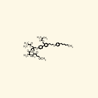 C=C(C)C(=O)OCc1cc(CCCOc2ccc(CCCCCC)cc2)ccc1-c1ccc(OCC(COC(=O)C(=C)C)(COC(=O)C(=C)C)COC(=O)C(=O)CCOC)cc1